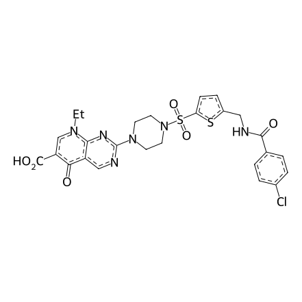 CCn1cc(C(=O)O)c(=O)c2cnc(N3CCN(S(=O)(=O)c4ccc(CNC(=O)c5ccc(Cl)cc5)s4)CC3)nc21